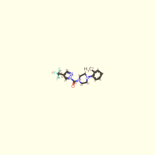 Cc1ccccc1N1CCN(C(=O)n2cc(C(F)(F)F)cn2)CC1